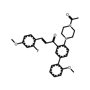 COc1ccc(C=CC(=O)c2cc(-c3ccccc3OC)ccc2N2CCN(C(C)=O)CC2)c(F)c1